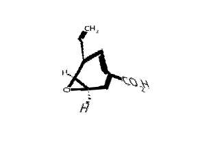 C=C[C@H]1C=C(C(=O)O)C[C@H]2O[C@@H]12